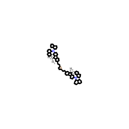 CC1(C)c2cc(/C=C/c3ccc(/C=C/c4ccc5c(c4)C(C)(C)c4cc(N(c6cccc7ccccc67)c6cccc7ccccc67)ccc4-5)s3)ccc2-c2ccc(N(c3cccc4ccccc34)c3cccc4ccccc34)cc21